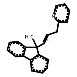 CC1(/C=C/Cc2ccccn2)c2ccccc2-c2ccccc21